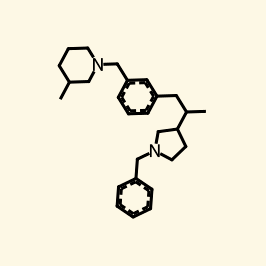 CC1CCCN(Cc2cccc(CC(C)C3CCN(Cc4ccccc4)C3)c2)C1